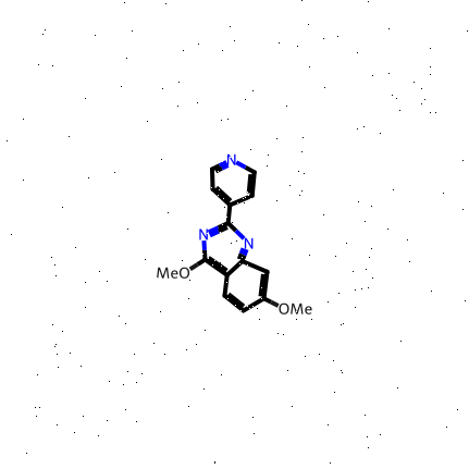 COc1ccc2c(OC)nc(-c3ccncc3)nc2c1